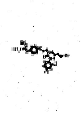 CCCSCCCN(CCOc1ccc(CC(OCC)C(=O)O)cc1)C(=O)Nc1ccc(Cl)cc1Cl